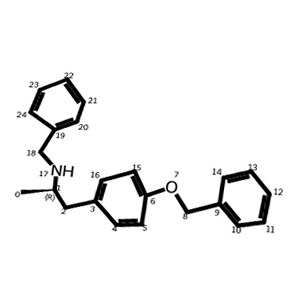 C[C@H](Cc1ccc(OCc2ccccc2)cc1)NCc1ccccc1